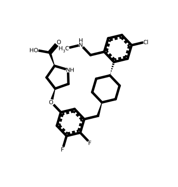 CNCc1ccc(Cl)cc1[C@H]1CC[C@H](Cc2cc(O[C@@H]3CN[C@H](C(=O)O)C3)cc(F)c2F)CC1